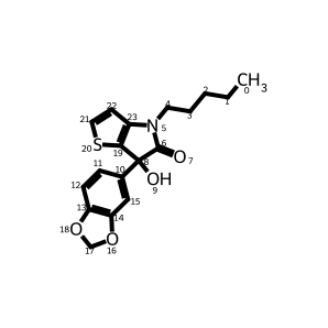 CCCCCN1C(=O)C(O)(c2ccc3c(c2)OCO3)c2sccc21